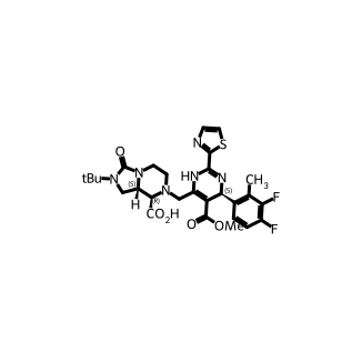 COC(=O)C1=C(CN2CCN3C(=O)N(C(C)(C)C)C[C@H]3[C@@H]2C(=O)O)NC(c2nccs2)=N[C@H]1c1ccc(F)c(F)c1C